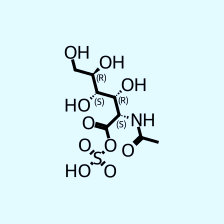 CC(=O)N[C@H](C(=O)OS(=O)(=O)O)[C@@H](O)[C@H](O)[C@H](O)CO